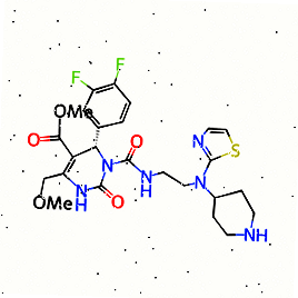 COCC1=C(C(=O)OC)[C@H](c2ccc(F)c(F)c2)N(C(=O)NCCN(c2nccs2)C2CCNCC2)C(=O)N1